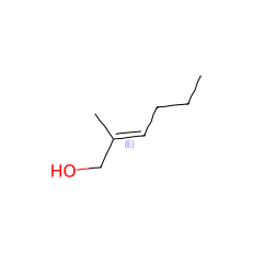 CCC/C=C(\C)CO